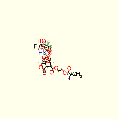 C=C(I)C(=O)OCCOC(=O)C1C2OC3C(OC(=O)C31)C2OS(=O)(=O)NS(=O)(=O)C(F)(F)C(O)C(F)(F)F